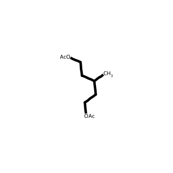 CC(=O)OCCC(C)CCOC(C)=O